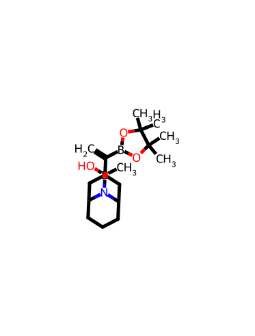 C=C(B1OC(C)(C)C(C)(C)O1)C1CC2CCCC(C1)N2B(C)O